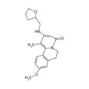 COc1ccc2c(c1)CCn1c-2c(C)c(NCC2CCCO2)cc1=O